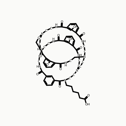 O=C(O)CCCCCN1CCN2CCNC(=O)c3cccc(c3O)C(=O)NCCN(CCNC(=O)c3cccc(c3)C1=O)CCN1CCNC(=O)c3cccc(c3O)C(=O)NCCN(CCNC(=O)c3cccc(c3O)C(=O)NCC1)CC2